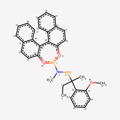 CCC(C)(PN(C)p1oc2ccc3ccccc3c2c2c(ccc3ccccc32)o1)c1ccccc1OC